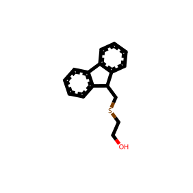 OCCSCC1c2ccccc2-c2ccccc21